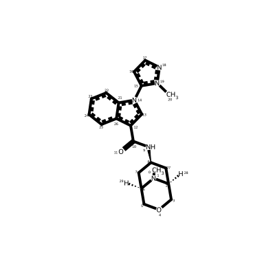 CN1[C@@H]2COC[C@H]1C[C@@H](NC(=O)c1cn(-c3ccnn3C)c3ccccc13)C2